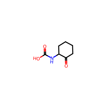 O=C(O)NC1CCCCC1=O